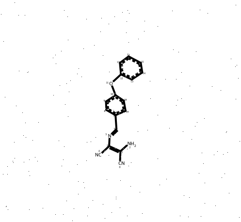 N#CC(N)=C(C#N)N=Cc1ccc(Oc2ccccc2)cc1